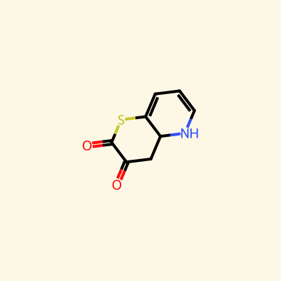 O=C1CC2NC=CC=C2SC1=O